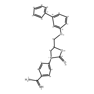 N=C(N)c1ccc(N2CC(COc3cccc(-c4ccccc4)c3)OC2=O)cc1